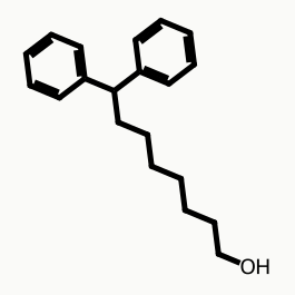 OCCCCCCCC(c1ccccc1)c1ccccc1